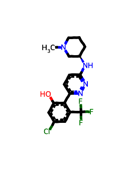 CN1CCC[C@@H](Nc2ccc(-c3c(O)cc(Cl)cc3C(F)(F)F)nn2)C1